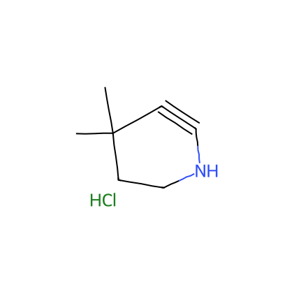 CC1(C)C#CNCC1.Cl